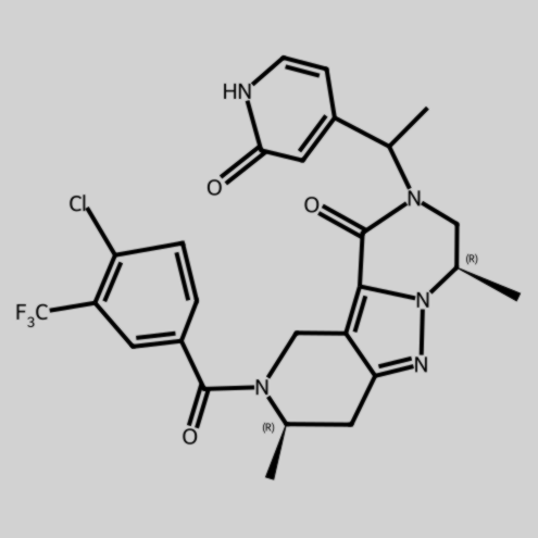 CC(c1cc[nH]c(=O)c1)N1C[C@@H](C)n2nc3c(c2C1=O)CN(C(=O)c1ccc(Cl)c(C(F)(F)F)c1)[C@H](C)C3